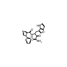 NC(=O)C(=O)C(Cc1coc2cc[nH]c12)NC(=O)c1cncn1-c1ccccn1